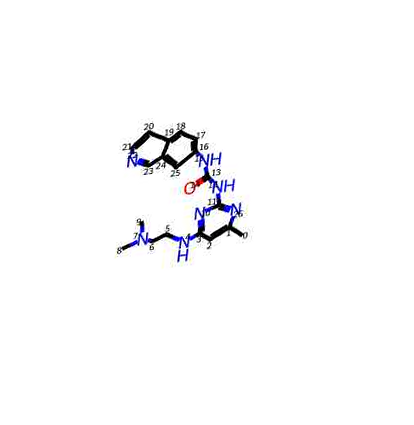 Cc1cc(NCCN(C)C)nc(NC(=O)Nc2ccc3ccncc3c2)n1